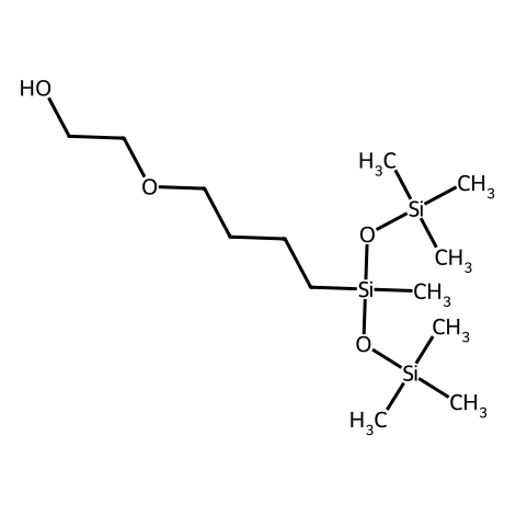 C[Si](C)(C)O[Si](C)(CCCCOCCO)O[Si](C)(C)C